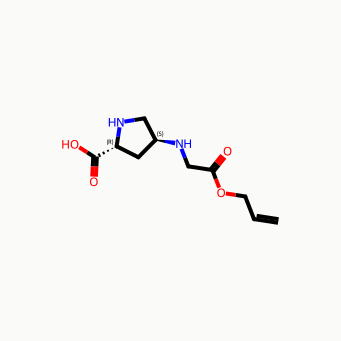 C=CCOC(=O)CN[C@@H]1CN[C@@H](C(=O)O)C1